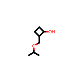 CC(C)OCC1CCC1O